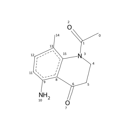 CC(=O)N1CCC(=O)c2c(N)ccc(C)c21